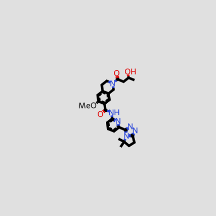 COc1cc2c(cc1C(=O)Nc1cccc(-c3nnc4n3C(C)(C)CC4)n1)CN(C(=O)CC(C)O)CC2